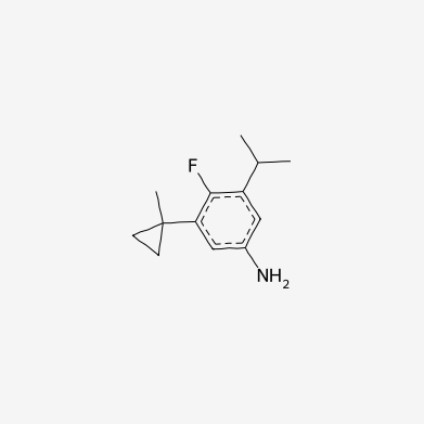 CC(C)c1cc(N)cc(C2(C)CC2)c1F